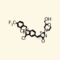 O=C1N=C(N2CCO[C@H](CO)C2)S/C1=C\c1ccc2c(c1)c(Cl)nn2Cc1ccc(C(F)(F)F)cc1C(F)(F)F